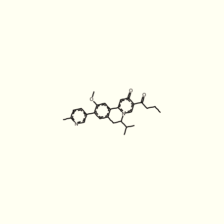 CCCC(=O)c1cn2c(cc1=O)-c1cc(OC)c(-c3ccc(C)nc3)cc1CC2C(C)C